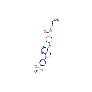 CCCCOC(=O)N1CCC(Oc2ncnc3c2CCN3c2ccc(S(C)(=O)=O)cc2F)CC1